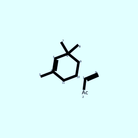 C=CC(C)=O.CC1=CC(C)(C)CCC1